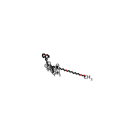 CCCCCCCCCCCCCCCCCCNC(=O)OCC(CNS(=O)(=O)CCC[n+]1cccc2ccccc21)NC(=O)OC.[I-]